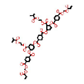 C=CC(=O)OCOC(=O)c1ccc(C(=O)Oc2ccc(OC(=O)C3CCC(C(=O)Oc4ccc(OC(=O)c5ccc(C(=O)OCOC(=O)C=C)cc5)c(C(=O)OCCOC(=O)C(=C)C)c4)CC3)cc2C(=O)OCCOC(=O)C(=C)C)cc1